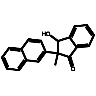 CC1(c2ccc3ccccc3c2)C(=O)c2ccccc2C1O